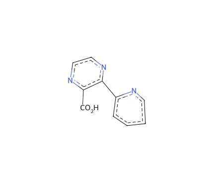 O=C(O)c1nccnc1-c1ccccn1